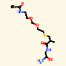 CCC(C)C(=O)NCCOCOCCSCC(C)C(=O)NCC(N)O